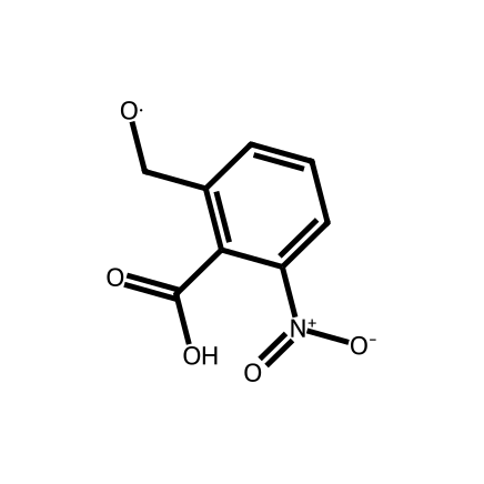 [O]Cc1cccc([N+](=O)[O-])c1C(=O)O